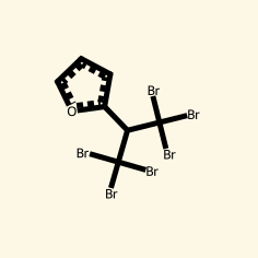 BrC(Br)(Br)C(c1ccco1)C(Br)(Br)Br